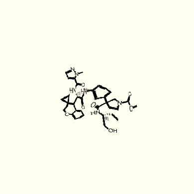 CC[C@H](CO)NC(=O)C1(c2cccc(NC(=O)[C@@H](NC(=O)c3ccnn3C)C3c4ccccc4OCC34CC4)c2)CCN(C(=O)OC)C1